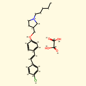 CCCCCN1CCC(COc2ccc(C=Cc3ccc(Cl)cc3)cc2)C1.O=C(O)C(=O)O